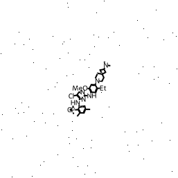 CCc1cc(Nc2ncc(Cl)c(Nc3cc(C)cc(C)c3P(C)(C)=O)n2)c(OC)cc1N1CCC2(CC1)CC(N(C)C)C2